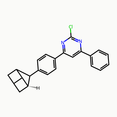 Clc1nc(-c2ccccc2)cc(-c2ccc(C3C4CC5C[C@H]3C54)cc2)n1